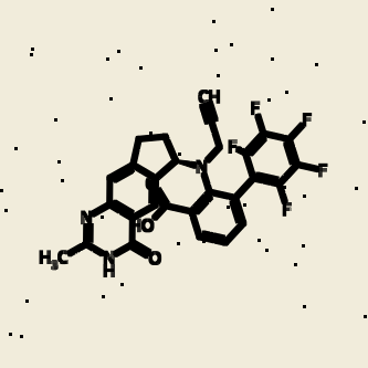 C#CCN(c1c(C(=O)O)cccc1-c1c(F)c(F)c(F)c(F)c1F)[C@@H]1CCc2cc3nc(C)[nH]c(=O)c3cc21